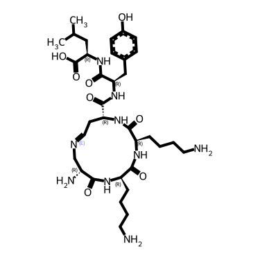 CC(C)C[C@@H](NC(=O)[C@@H](Cc1ccc(O)cc1)NC(=O)[C@H]1C/C=N/C[C@@H](N)C(=O)N[C@H](CCCCN)C(=O)N[C@H](CCCCN)C(=O)N1)C(=O)O